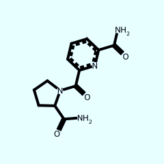 NC(=O)c1[c]ccc(C(=O)N2CCCC2C(N)=O)n1